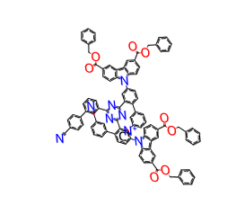 [C-]#[N+]c1cccc(-c2ccc(-n3c4ccc(C(=O)OCc5ccccc5)cc4c4cc(C(=O)OCc5ccccc5)ccc43)cc2-c2nc(-c3cccc(-c4ccc(C#N)cc4)c3)nc(-c3cc(-n4c5ccc(C(=O)OCc6ccccc6)cc5c5cc(C(=O)OCc6ccccc6)ccc54)ccc3-c3cccc(C#N)c3)n2)c1